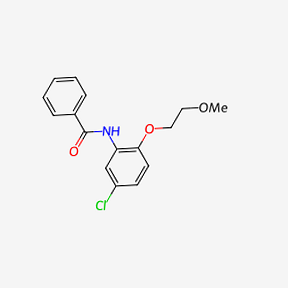 COCCOc1ccc(Cl)cc1NC(=O)c1ccccc1